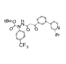 CC(C)c1cc(-c2cccc(C(=O)CC(=O)NN(C(=O)OC(C)(C)C)c3ccc(C(F)(F)F)cc3)c2)ccn1